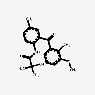 COc1cccc(C(=O)c2cc(C)ccc2NC(=O)C(C)(C)C)c1C